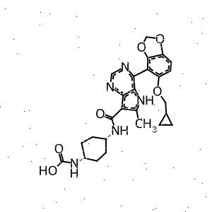 Cc1[nH]c2c(-c3c(OCC4CC4)ccc4c3OCO4)ncnc2c1C(=O)N[C@H]1CC[C@@H](NC(=O)O)CC1